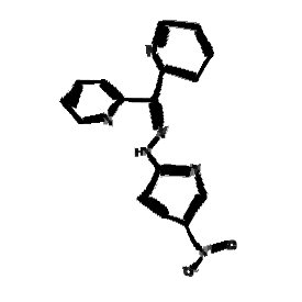 O=[N+]([O-])c1ccc(NN=C(c2ccccn2)c2ccccn2)nc1